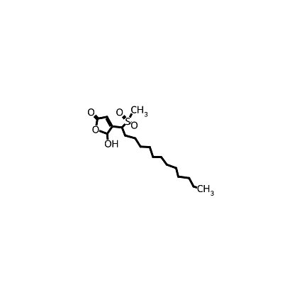 CCCCCCCCCCCCC(C1=CC(=O)OC1O)S(C)(=O)=O